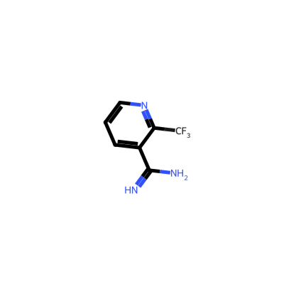 N=C(N)c1cccnc1C(F)(F)F